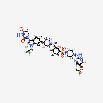 O=C1CCN(c2nn(CC(F)(F)F)c3cc(C4CCN(Cc5cccc(S(=O)(=O)N6CCC(Nc7ncc(OC(F)F)cn7)CC6)c5)CC4)ccc23)C(=O)N1